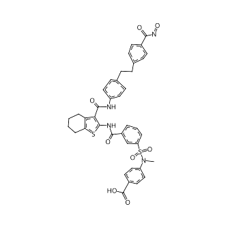 CN(c1ccc(C(=O)O)cc1)S(=O)(=O)c1cccc(C(=O)Nc2sc3c(c2C(=O)Nc2ccc(CCc4ccc(C(=O)N=O)cc4)cc2)CCCC3)c1